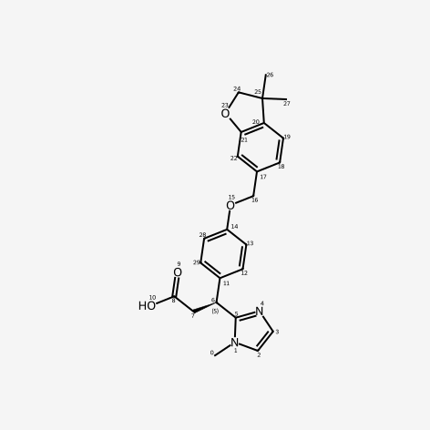 Cn1ccnc1[C@@H](CC(=O)O)c1ccc(OCc2ccc3c(c2)OCC3(C)C)cc1